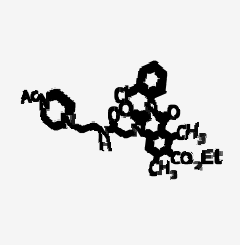 CCOC(=O)c1c(C)cc2c(c1C)c(=O)n(-c1ccccc1Cl)c(=O)n2CC(=O)NCCN1CCN(C(C)=O)CC1